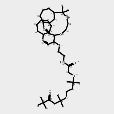 CC(C)(CCOC(C)(C)CC(=O)C(C)(C)C)OCC(=O)NCCSC(/C=N\C1CCCCCC1)C1/C=N\C2CCCC(CC2)C(C)(C)NCCS1